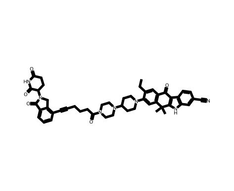 CCc1cc2c(cc1N1CCC(N3CCN(C(=O)CCCC#Cc4cccc5c4CN(C4CCC(=O)NC4=O)C5=O)CC3)CC1)C(C)(C)c1[nH]c3cc(C#N)ccc3c1C2=O